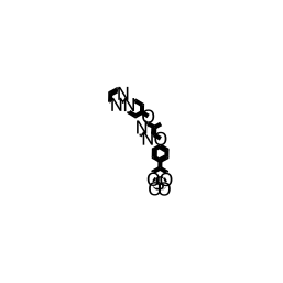 Cc1c(Oc2ccc(C3COS(=O)(=O)OC3)cc2)ncnc1OC1CCN(c2ncccn2)CC1